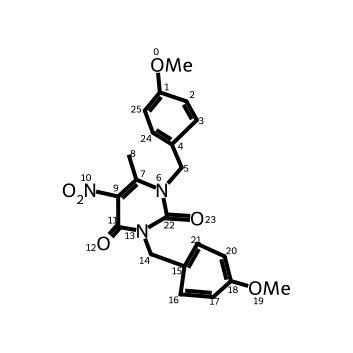 COc1ccc(Cn2c(C)c([N+](=O)[O-])c(=O)n(Cc3ccc(OC)cc3)c2=O)cc1